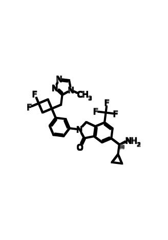 Cn1cnnc1CC1(c2cccc(N3Cc4c(cc([C@@H](N)C5CC5)cc4C(F)(F)F)C3=O)c2)CC(F)(F)C1